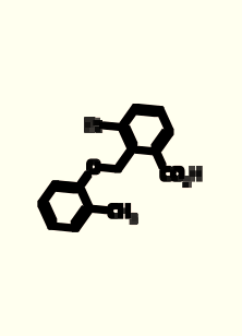 CCc1cccc(C(=O)O)c1COc1ccccc1C